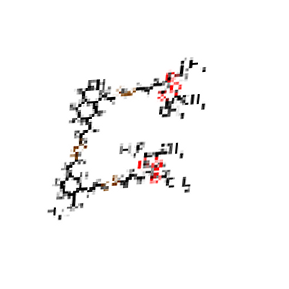 CCO[Si](CCCSSCCC1CC(CCSSCCC2CCC(CC)C(CCSSCCC[Si](OCC)(OCC)OCC)C2)CCC1CC)(OCC)OCC